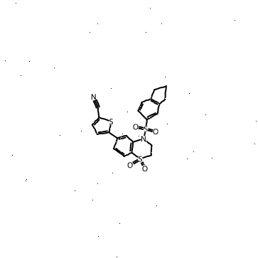 N#Cc1ccc(-c2ccc3c(c2)N(S(=O)(=O)c2ccc4c(c2)CCC4)CCS3(=O)=O)s1